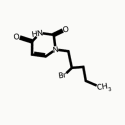 CCCC(Br)Cn1ccc(=O)[nH]c1=O